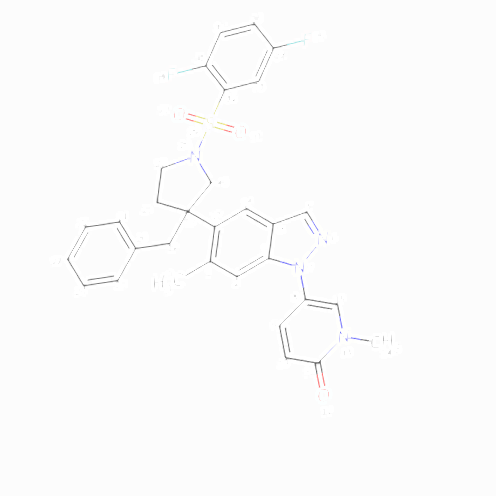 Cc1cc2c(cnn2-c2ccc(=O)n(C)c2)cc1C1(Cc2ccccc2)CCN(S(=O)(=O)c2cc(F)ccc2F)C1